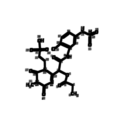 CCC(=O)OC(C(=O)Nc1cc(N[SH](=O)=O)ccc1Cl)c1nc(=O)n(C)c(=O)n1CCS(=O)(=O)O